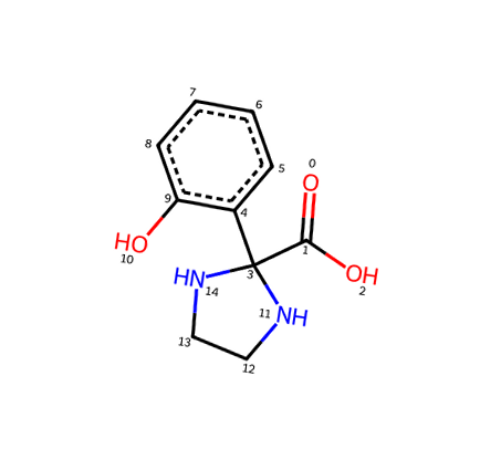 O=C(O)C1(c2ccccc2O)NCCN1